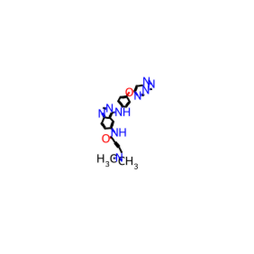 CN(C)CC#CC(=O)Nc1ccc2ncnc(Nc3ccc(Oc4cc5nncn5cn4)cc3)c2c1